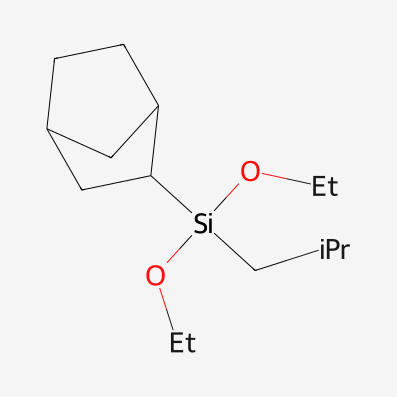 CCO[Si](CC(C)C)(OCC)C1CC2CCC1C2